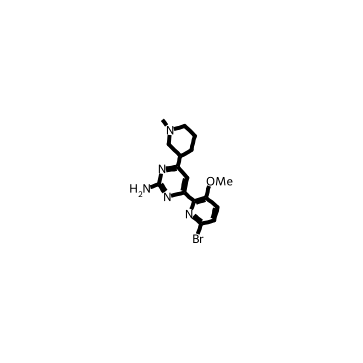 COc1ccc(Br)nc1-c1cc(C2CCCN(C)C2)nc(N)n1